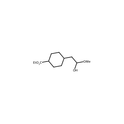 CCOC(=O)C1CCC(CC(O)OC)CC1